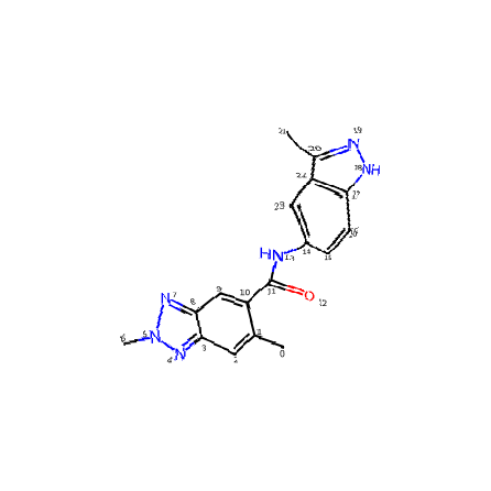 Cc1cc2nn(C)nc2cc1C(=O)Nc1ccc2[nH]nc(C)c2c1